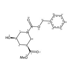 COC(=O)[C@H]1C[C@@H](O)CN(C(=O)OCc2ccccc2)C1